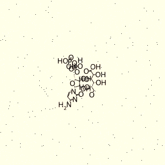 Nc1ccn([C@@H]2O[C@H](COP(=O)(O)OP(=O)(O)O)[C@@H](O)[C@H]2O)c(=O)n1.O=C[C@H](O)[C@@H](O)[C@H](O)[C@H](O)C(=O)O